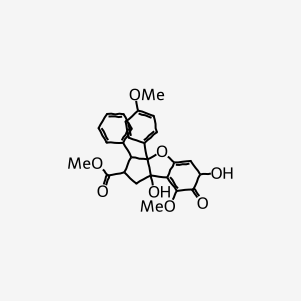 COC(=O)C1CC2(O)C3=C(OC)C(=O)C(O)C=C3OC2(c2ccc(OC)cc2)C1c1ccccc1